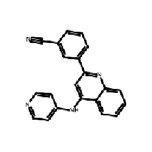 N#Cc1cccc(-c2cc(Nc3ccncc3)c3ccccc3n2)c1